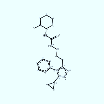 CC1CCCCC1NC(=O)NCCCc1nnc(C2CC2)n1-c1ccccc1